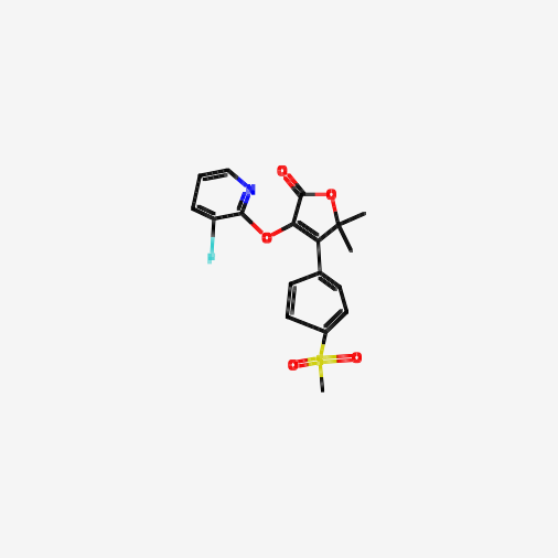 CC1(C)OC(=O)C(Oc2ncccc2F)=C1c1ccc(S(C)(=O)=O)cc1